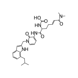 CC(C)Cc1cccc2cc(Cn3cccc(NC(=O)C(CC/C=C/C(=O)N(C)C)NC(=O)O)c3=O)[nH]c12